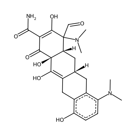 CN(C)c1ccc(O)c2c1C[C@H]1C[C@H]3C(C=O)(N(C)C)C(O)=C(C(N)=O)C(=O)[C@@]3(O)C(O)=C1C2